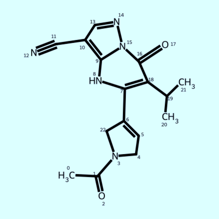 CC(=O)N1CC=C(c2[nH]c3c(C#N)cnn3c(=O)c2C(C)C)C1